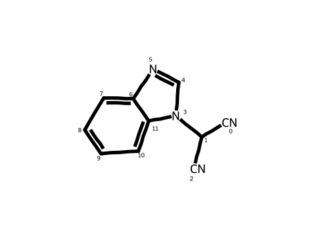 N#CC(C#N)n1cnc2ccccc21